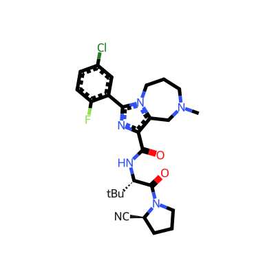 CN1CCCn2c(-c3cc(Cl)ccc3F)nc(C(=O)N[C@H](C(=O)N3CCC[C@H]3C#N)C(C)(C)C)c2C1